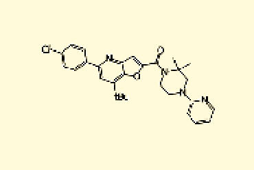 CC(C)(C)c1cc(-c2ccc(Cl)cc2)nc2cc(C(=O)N3CCN(c4ccccn4)CC3(C)C)oc12